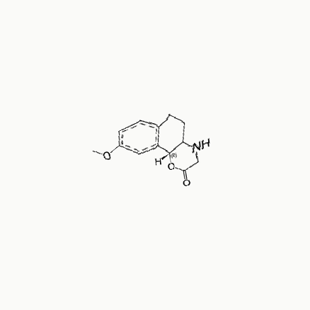 COc1ccc2c(c1)[C@H]1OC(=O)CNC1CC2